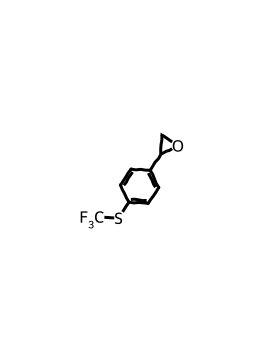 FC(F)(F)Sc1ccc(C2CO2)cc1